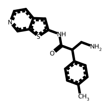 Cc1ccc(C(CN)C(=O)Nc2cc3ccncc3s2)cc1